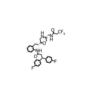 O=C(CC(F)(F)F)NC[C@@H]1CO[C@H](CCc2ccccc2NC(=O)CC(c2ccc(F)cc2)c2ccc(F)cc2)CN1